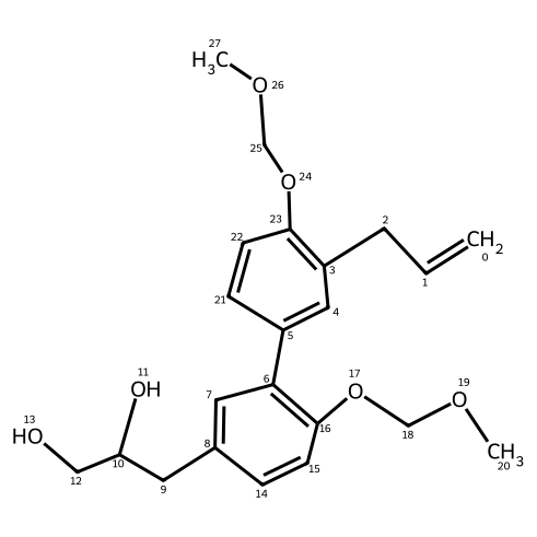 C=CCc1cc(-c2cc(CC(O)CO)ccc2OCOC)ccc1OCOC